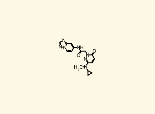 CN(c1ccc(=O)n(CC(=O)Nc2ccn3ncnc3c2)n1)C1CC1